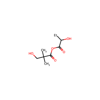 CCC(O)C(=O)OC(=O)C(C)(C)CO